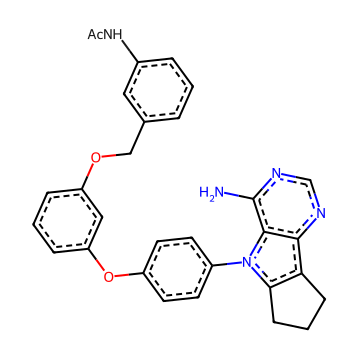 CC(=O)Nc1cccc(COc2cccc(Oc3ccc(-n4c5c(c6ncnc(N)c64)CCC5)cc3)c2)c1